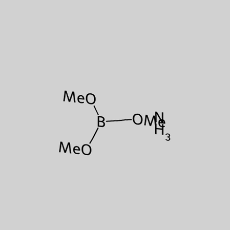 COB(OC)OC.N